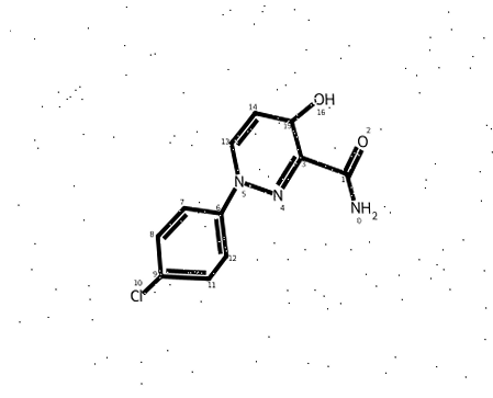 NC(=O)C1=NN(c2ccc(Cl)cc2)C=CC1O